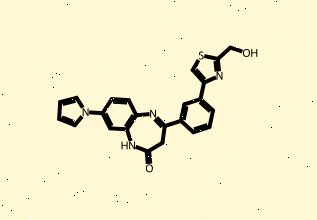 O=C1CC(c2cccc(-c3csc(CO)n3)c2)=Nc2ccc(-n3cccc3)cc2N1